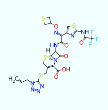 C=CCn1nnnc1SCC1=C(C(=O)O)N2C(=O)C(NC(=O)C(=NOC3CSC3)c3csc(NC(=O)C(F)(F)F)n3)[C@@H]2SC1